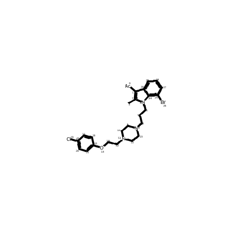 CC(=O)c1c(C)n(CCCN2CCN(CCOc3ccc(Cl)cc3)CC2)c2c(Br)cccc12